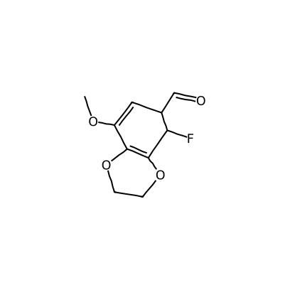 COC1=CC(C=O)C(F)C2=C1OCCO2